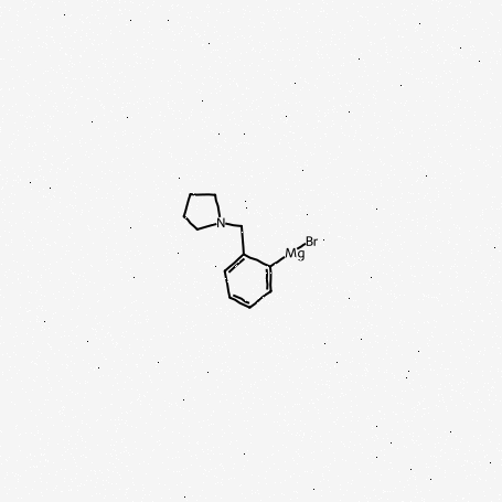 [Br][Mg][c]1ccccc1CN1CCCC1